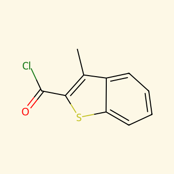 Cc1c(C(=O)Cl)sc2ccccc12